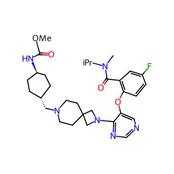 COC(=O)N[C@H]1CC[C@H](CN2CCC3(CC2)CN(c2ncncc2Oc2ccc(F)cc2C(=O)N(C)C(C)C)C3)CC1